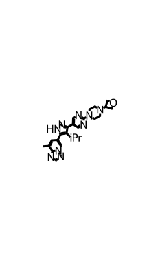 Cc1cc(-c2[nH]nc(-c3cnc(N4CCN(C5COC5)CC4)nc3)c2C(C)C)cn2ncnc12